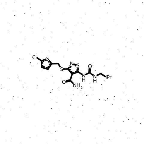 CC(C)CNC(=O)Nc1snc(SCc2ccc(Cl)s2)c1C(N)=O